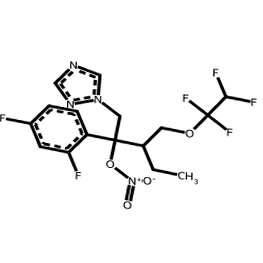 CCC(COC(F)(F)C(F)F)C(Cn1cncn1)(O[N+](=O)[O-])c1ccc(F)cc1F